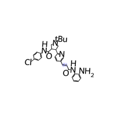 CC(C)(C)N1CC(C(=O)Nc2ccc(Cl)cc2)C(c2ccc(/C=C/C(=O)Nc3ccccc3N)cn2)C1